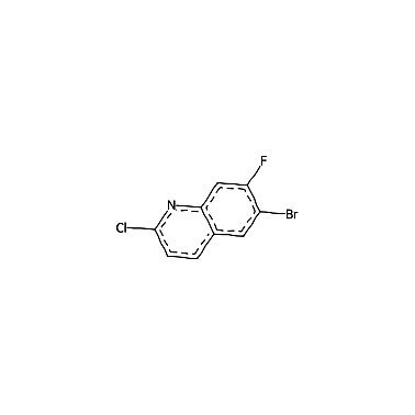 Fc1cc2nc(Cl)ccc2cc1Br